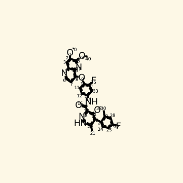 COc1cc2nccc(Oc3ccc(NC(=O)c4n[nH]c(C)c(-c5ccc(F)cc5C)c4=O)cc3F)c2nc1OC